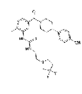 Cc1ccc(C(=O)N2CCC(c3ccc(C#N)cc3)CC2)cc1NC(=O)NCCN1CCC(F)(F)C1